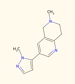 CN1CCc2ncc(-c3ccnn3C)cc2C1